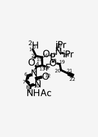 [2H]CC1OC(n2ccc(NC(C)=O)nc2=O)C(F)C1OP(OCCC#C)N(C(C)C)C(C)C